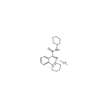 C[C@@]12CCCC[C@]1(CC(F)(F)F)N=C(C(=O)NC1CCCCC1)c1ccccc12